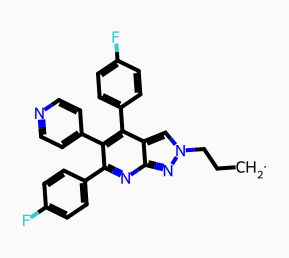 [CH2]CCn1cc2c(-c3ccc(F)cc3)c(-c3ccncc3)c(-c3ccc(F)cc3)nc2n1